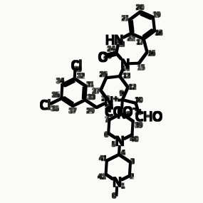 CN1CCC(N2CCN(C3(CC=O)CC(N4CCc5ccccc5NC4=O)CC[N@+]3(Cc3cc(Cl)cc(Cl)c3)C(=O)[O-])CC2)CC1